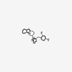 Fc1ccc(Cc2cnnn2C2CCc3[c]c4ccccc4n3C2)c(F)c1